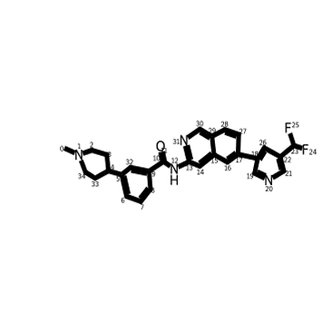 CN1CCC(c2cccc(C(=O)Nc3cc4cc(-c5cncc(C(F)F)c5)ccc4cn3)c2)CC1